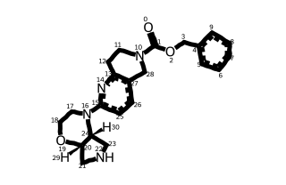 O=C(OCc1ccccc1)N1CCc2nc(N3CCO[C@H]4CNC[C@H]43)ccc2C1